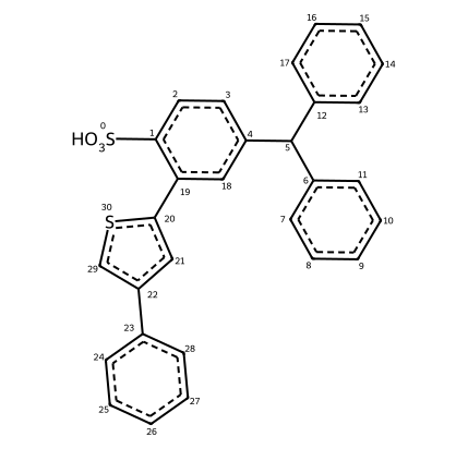 O=S(=O)(O)c1ccc(C(c2ccccc2)c2ccccc2)cc1-c1cc(-c2ccccc2)cs1